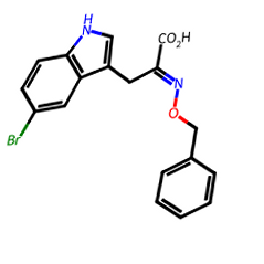 O=C(O)/C(Cc1c[nH]c2ccc(Br)cc12)=N/OCc1ccccc1